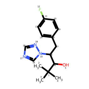 CC(C)(C)C(O)C(Cc1ccc(F)cc1)n1cncn1